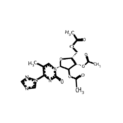 CC(=O)OC[C@H]1O[C@@H](n2cc(C)c(-n3cncn3)nc2=O)C(OC(C)=O)[C@H]1OC(C)=O